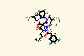 CCC[C@H](NC(=O)Cc1cc(F)cc(F)c1)C(=O)C1(N)C(=O)N(CC(C)C)c2ccccc2N(CC(C)C)C1=O